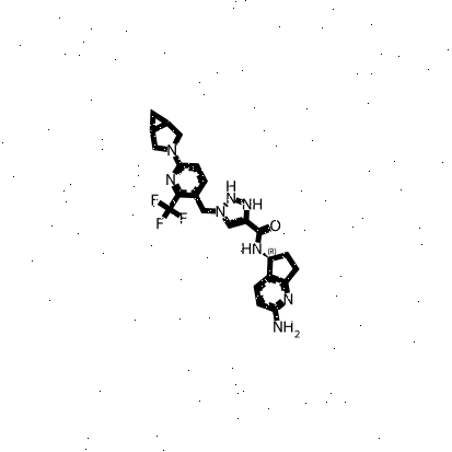 Nc1ccc2c(n1)CC[C@H]2NC(=O)C1=CN(Cc2ccc(N3CC4CC4C3)nc2C(F)(F)F)NN1